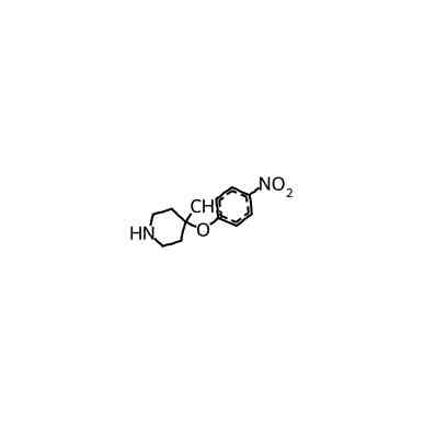 CC1(Oc2ccc([N+](=O)[O-])cc2)CCNCC1